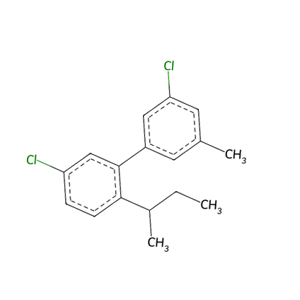 CCC(C)c1ccc(Cl)cc1-c1cc(C)cc(Cl)c1